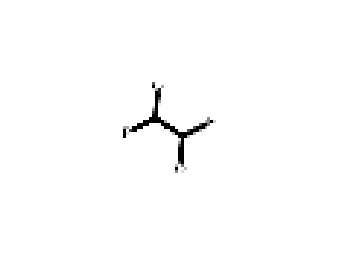 [O]C(F)C([O])F